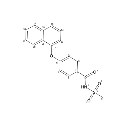 CS(=O)(=O)NC(=O)c1ccc(Oc2cccc3ccccc23)cc1